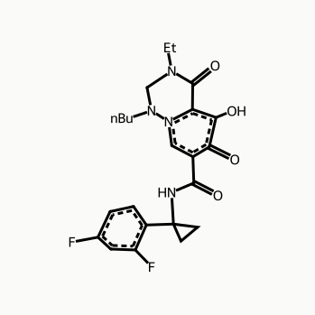 CCCCN1CN(CC)C(=O)c2c(O)c(=O)c(C(=O)NC3(c4ccc(F)cc4F)CC3)cn21